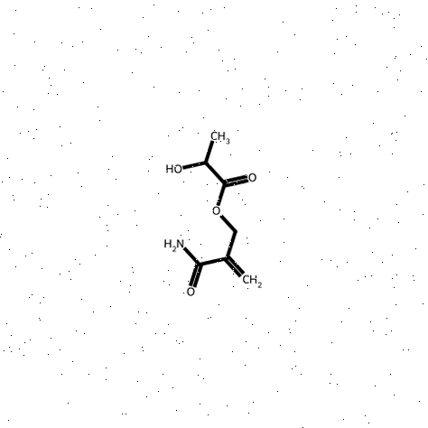 C=C(COC(=O)C(C)O)C(N)=O